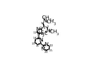 CN(C)/C=C(\C=[N+](C)C)c1ncc(-c2cccc(-c3ncccn3)n2)s1